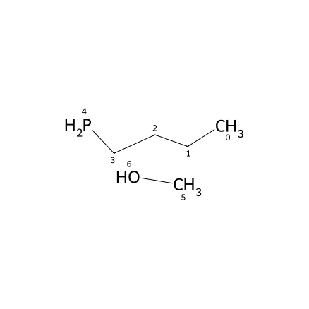 CCCCP.CO